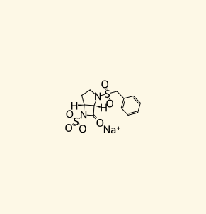 O=C1[C@@H]2[C@@H](CCN2S(=O)(=O)Cc2ccccc2)N1S(=O)(=O)[O-].[Na+]